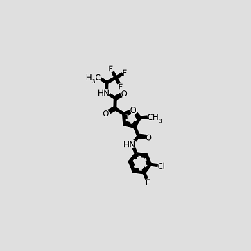 Cc1oc(C(=O)C(=O)NC(C)C(F)(F)F)cc1C(=O)Nc1ccc(F)c(Cl)c1